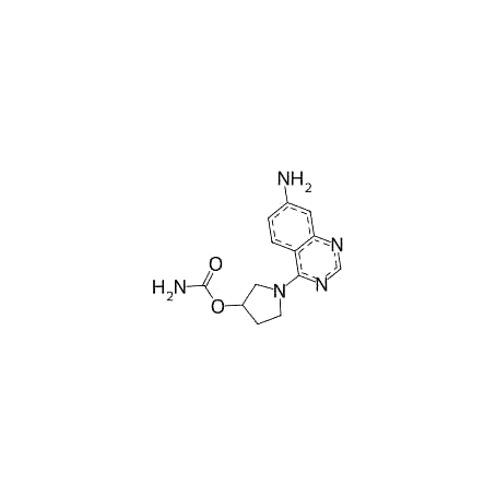 NC(=O)OC1CCN(c2ncnc3cc(N)ccc23)C1